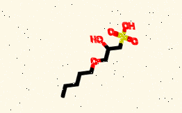 CCCCCOCC(O)CS(=O)(=O)O